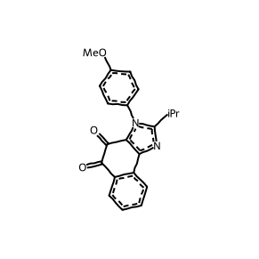 COc1ccc(-n2c(C(C)C)nc3c2C(=O)C(=O)c2ccccc2-3)cc1